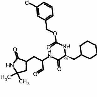 CC1(C)CC(CC(C=O)NC(=O)[C@H](CC2CCCCC2)NC(=O)OCc2cccc(Cl)c2)C(=O)N1